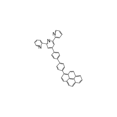 c1ccc(-c2cc(-c3ccc(-c4ccc(-c5ccc6ccc7cccc8ccc5c6c78)cc4)cc3)cc(-c3ccccn3)n2)nc1